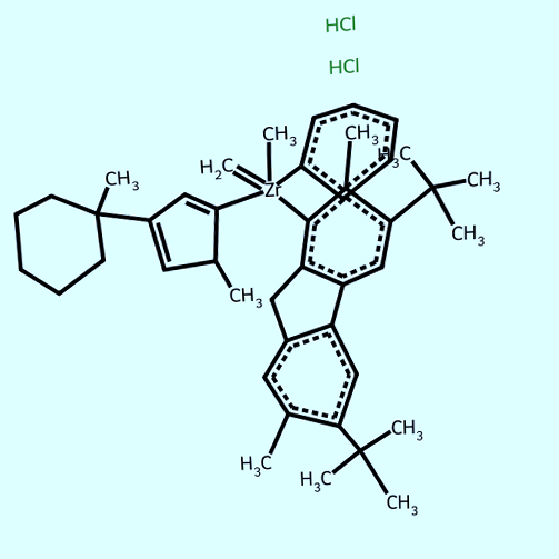 Cl.Cl.[CH2]=[Zr]([CH3])([C]1=CC(C2(C)CCCCC2)=CC1C)([c]1ccccc1)[c]1c(C)c(C(C)(C)C)cc2c1Cc1cc(C)c(C(C)(C)C)cc1-2